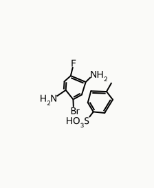 Cc1ccc(S(=O)(=O)O)cc1.Nc1cc(Br)c(N)cc1F